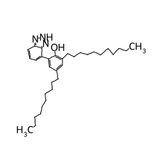 CCCCCCCCCCCc1cc(CCCCCCCCCC)cc(-c2cccc3n[nH]nc23)c1O